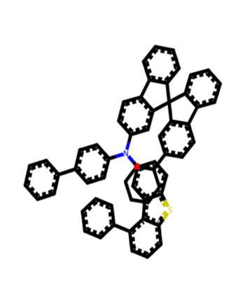 c1ccc(-c2ccc(N(c3ccc4c(c3)C3(c5ccccc5-c5ccc(C6CCCCC6)cc53)c3ccccc3-4)c3ccc4sc5cccc(-c6ccccc6)c5c4c3)cc2)cc1